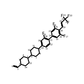 C=CC1CCC(C2CCC(c3ccc(-c4cc(F)c(/C=C/C(F)(F)F)c(F)c4)c(F)c3)CC2)CC1